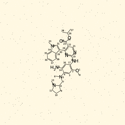 COc1cc(N(C)CC2CCCN2C)c(N)cc1Nc1ncc(C(=O)OC(C)C)c(-c2cn(C)c3ccccc23)n1